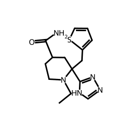 CCN1CCC(C(N)=O)CC1(Cc1cccs1)c1nnc[nH]1